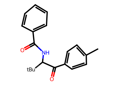 Cc1ccc(C(=O)C(NC(=O)c2ccccc2)C(C)(C)C)cc1